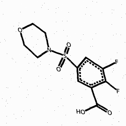 O=C(O)c1cc(S(=O)(=O)N2CCOCC2)cc(F)c1F